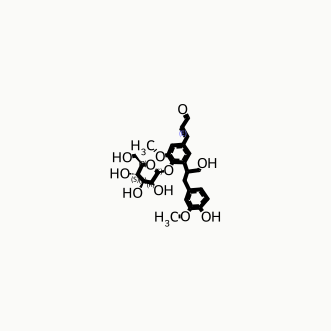 COc1cc(CC(CO)c2cc(/C=C/C=O)cc(OC)c2O[C@@H]2O[C@H](CO)[C@@H](O)[C@H](O)[C@H]2O)ccc1O